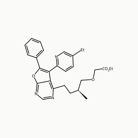 CCOC(=O)COC[C@@H](C)CCc1ncnc2oc(-c3ccccc3)c(-c3ccc(CC)cn3)c12